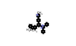 Cc1ccc(-c2ccc(-c3cc(-c4ccc5c(c4)-c4ccccc4C5(C)C)cc(-c4nc(-c5ccccc5)cc(-c5ccccc5)n4)c3)cc2)cn1